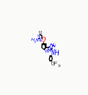 CCc1cc(Oc2cccc(-c3nnc(Nc4cccc(C(F)(F)F)c4)[nH]3)c2)nc(N)n1